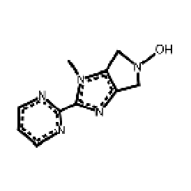 Cn1c(-c2ncccn2)nc2c1CN(O)C2